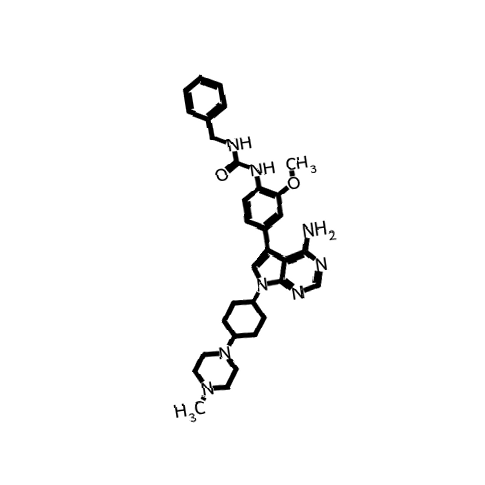 COc1cc(-c2cn(C3CCC(N4CCN(C)CC4)CC3)c3ncnc(N)c23)ccc1NC(=O)NCc1ccccc1